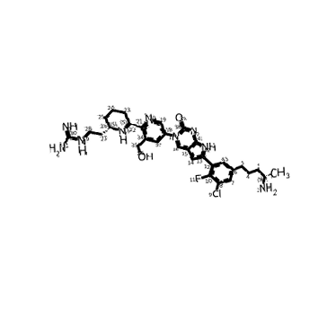 C[C@H](N)CCCc1cc(Cl)c(F)c(-c2cc3cn(-c4cnc([C@@H]5CCC[C@@H](CCNC(=N)N)N5)c(CO)c4)c(=O)nc3[nH]2)c1